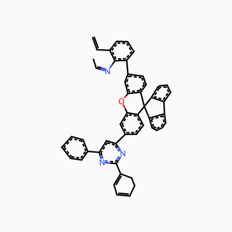 C=Cc1cccc(-c2ccc3c(c2)Oc2cc(-c4cc(-c5ccccc5)nc(C5=CC=CCC5)n4)ccc2C32c3ccccc3-c3ccccc32)c1/N=C\C